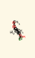 COCCCOc1ccc(C(C)(C)c2ccc(OCC(O)CCl)cc2)cc1